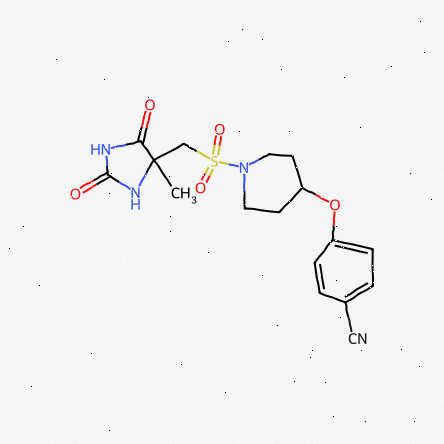 CC1(CS(=O)(=O)N2CCC(Oc3ccc(C#N)cc3)CC2)NC(=O)NC1=O